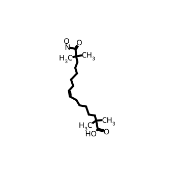 CC(C)(CCCCC/C=C\CCCCCC(C)(C)C(=O)N=O)C(=O)O